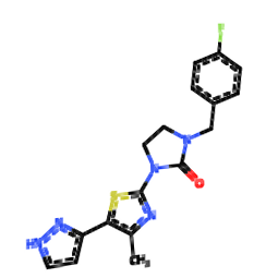 Cc1nc(N2CCN(Cc3ccc(F)cc3)C2=O)sc1-c1cc[nH]n1